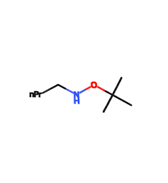 [CH2]CCCNOC(C)(C)C